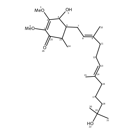 COC1=C(OC)C(O)C(C/C=C(\C)CC/C=C(\C)CCCC(C)(C)O)C(C)C1=O